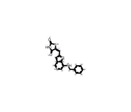 O=C1NC(=O)/C(=C\c2cc3cncc(NCc4ccccc4)c3o2)S1